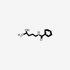 CC(O)CCCNC(=O)c1ccccc1